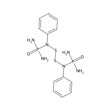 NP(N)(=O)N(SSN(c1ccccc1)P(N)(N)=O)c1ccccc1